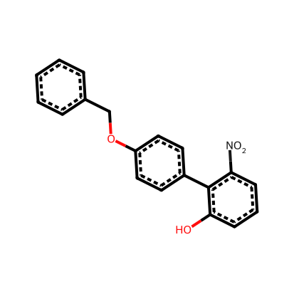 O=[N+]([O-])c1cccc(O)c1-c1ccc(OCc2ccccc2)cc1